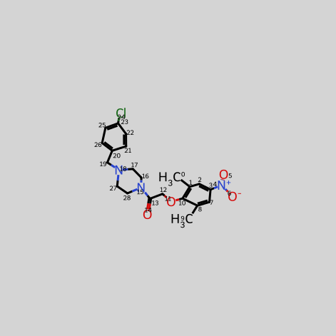 Cc1cc([N+](=O)[O-])cc(C)c1OCC(=O)N1CCN(Cc2ccc(Cl)cc2)CC1